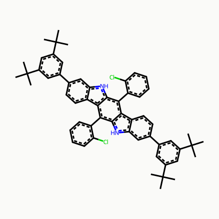 CC(C)(C)c1cc(-c2ccc3c(c2)[nH]c2c(-c4ccccc4Cl)c4c([nH]c5cc(-c6cc(C(C)(C)C)cc(C(C)(C)C)c6)ccc54)c(-c4ccccc4Cl)c23)cc(C(C)(C)C)c1